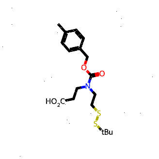 Cc1ccc(COC(=O)N(CCSSC(C)(C)C)CCC(=O)O)cc1